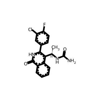 C[C@H](NC(N)=O)c1c(-c2ccc(F)c(Cl)c2)[nH]c(=O)c2ccccc12